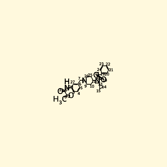 CC1Oc2ccc(CN3CCC(N(C4CC4)S(=O)(=O)c4ccccc4)CC3)cc2NC1=O